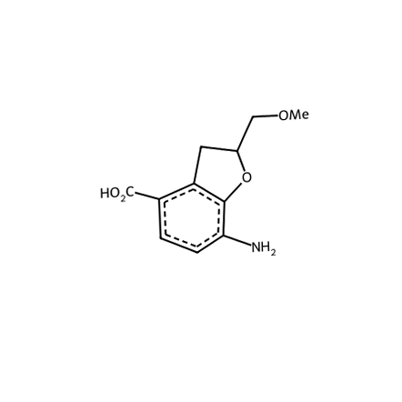 COCC1Cc2c(C(=O)O)ccc(N)c2O1